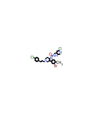 Cc1cc2c(cc1Br)c1c(n2C(=O)NCc2ccnc(Cl)c2)CCN(CC=Cc2ccc(Cl)cc2)C1